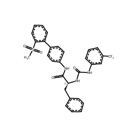 CS(=O)(=O)c1ccccc1-c1ccc(NC(=O)[C@H](Cc2ccccc2)NC(=O)Nc2cccc(C(F)(F)F)c2)cc1